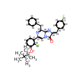 CC(C)(C)[Si](C)(C)Oc1cccc(C2=CN3C(=O)/C(=C/c4ccc(F)cc4)N=C3C(Cc3ccccc3)=N2)c1F